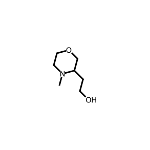 CN1CCOCC1CCO